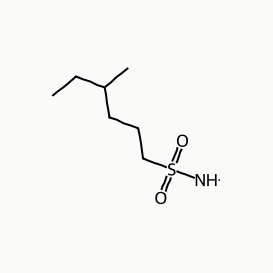 CCC(C)CCCS([NH])(=O)=O